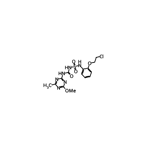 COc1nc(C)nc(NC(=O)NS(=O)(=O)Nc2ccccc2OCCCl)n1